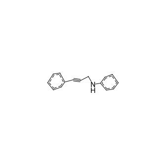 C(#Cc1ccccc1)CNc1ccccc1